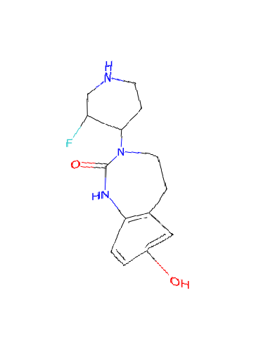 O=C1Nc2ccc(O)cc2CCN1C1CCNCC1F